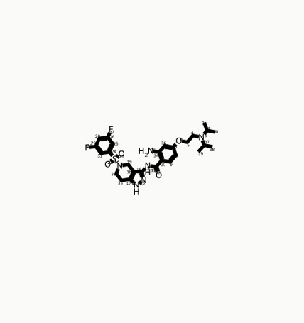 CC(C)N(CCOc1ccc(C(=O)Nc2n[nH]c3c2CN(S(=O)(=O)c2cc(F)cc(F)c2)CC3)c(N)c1)C(C)C